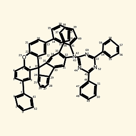 c1ccc(-c2ccc3c(c2)C2(c4cc(-c5ccccc5)ccc4O3)c3ccccc3-c3cc4c(cc32)c2ccccc2n4-c2nc(-c3ccccc3)nc(-c3ccccc3)n2)cc1